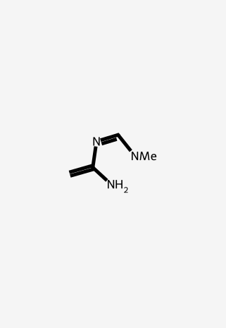 C=C(N)/N=C\NC